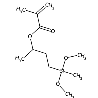 C=C(C)C(=O)OC(C)CC[Si](C)(OC)OC